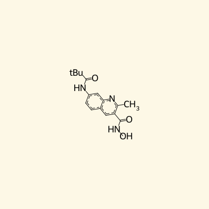 Cc1nc2cc(NC(=O)C(C)(C)C)ccc2cc1C(=O)NO